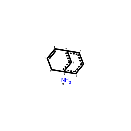 C1=Cc2cccc(c2)C1.N